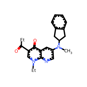 CCC(=O)c1cn(CC)c2ncc(N(C)C3Cc4ccccc4C3)cc2c1=O